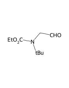 CCOC(=O)N(CC=O)C(C)(C)C